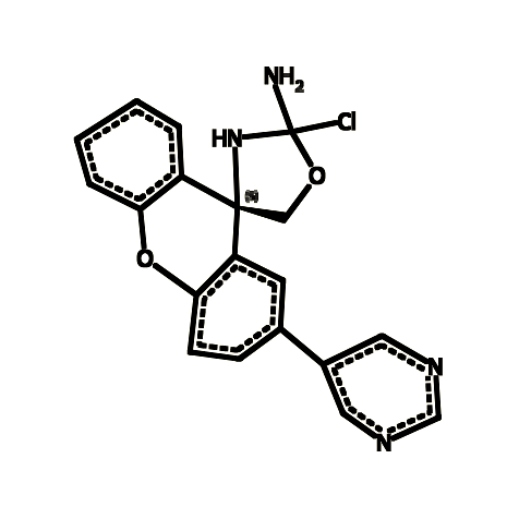 NC1(Cl)N[C@@]2(CO1)c1ccccc1Oc1ccc(-c3cncnc3)cc12